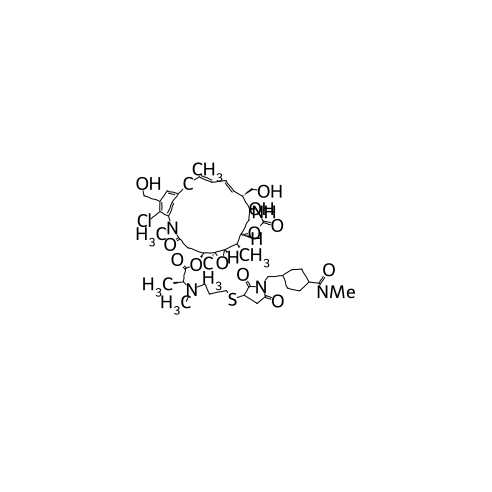 CNC(=O)C1CCC(CN2C(=O)CC(SCCCN(C)[C@@H](C)C(=O)O[C@H]3CC(=O)N(C)c4cc(cc(CO)c4Cl)C/C(C)=C/C=C/[C@@H](CO)[C@@]4(O)C[C@H](OC(=O)N4)[C@@H](C)[C@@H]4O[C@@]34C)C2=O)CC1